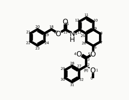 CO[C@@H](C(=O)OC1CCc2cccc(NC(=O)OCc3ccccc3)c2C1)c1ccccc1